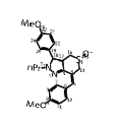 CCCN1N=C2/C(=C\c3ccc(OC)cc3)C[S+]([O-])CC2C1c1ccc(OC)cc1